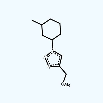 COCc1cn(C2CCCC(C)C2)nn1